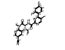 Cc1cnc(C(=O)NCC(=O)N(C)c2ncc(C#N)cc2OCF)nc1-c1ccc(F)cc1F